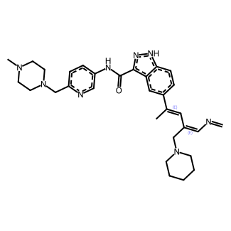 C=N/C=C(\C=C(/C)c1ccc2[nH]nc(C(=O)Nc3ccc(CN4CCN(C)CC4)nc3)c2c1)CN1CCCCC1